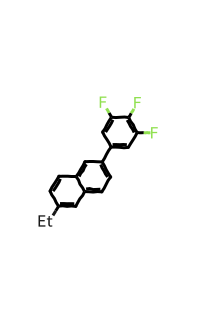 CCc1ccc2cc(-c3cc(F)c(F)c(F)c3)ccc2c1